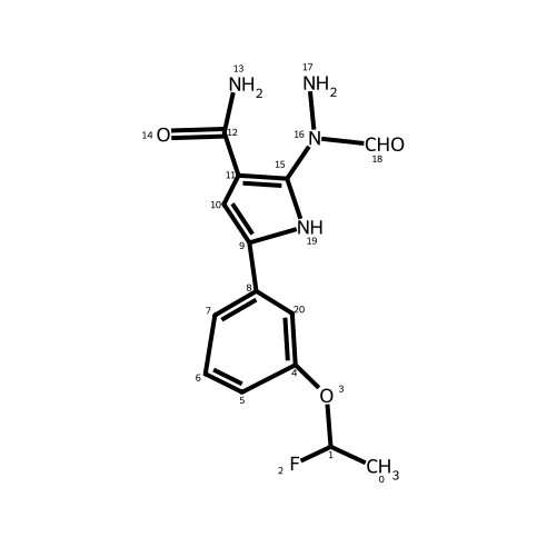 CC(F)Oc1cccc(-c2cc(C(N)=O)c(N(N)C=O)[nH]2)c1